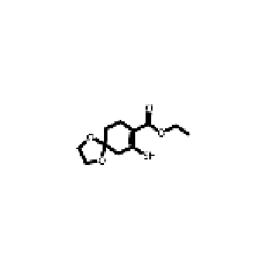 CCOC(=O)C1=C(S)CC2(CC1)OCCO2